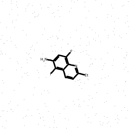 CCc1ccc2c(I)c(N)cc(F)c2n1